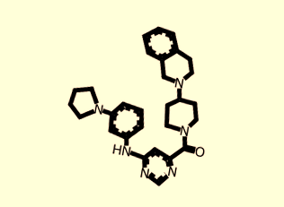 O=C(c1cc(Nc2cccc(N3CCCC3)c2)ncn1)N1CCC(N2CCc3ccccc3C2)CC1